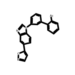 CC(=O)c1ccccc1-c1cccc(-n2cnc3cc(-c4ccno4)ccc32)c1